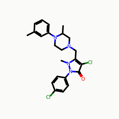 Cc1cccc(N2CCN(Cc3c(Cl)c(=O)n(-c4ccc(Cl)cc4)n3C)CC2C)c1